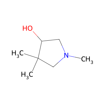 CN1CC(O)C(C)(C)C1